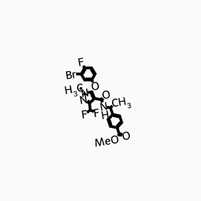 COC(=O)c1ccc(C(C)NC(=O)c2c(C(F)F)nn(C)c2Oc2ccc(F)c(Br)c2)cc1